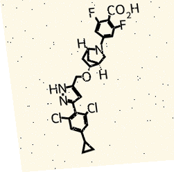 O=C(O)c1c(F)cc(N2C[C@@H]3C[C@H]2C[C@H]3OCc2cc(-c3c(Cl)cc(C4CC4)cc3Cl)n[nH]2)cc1F